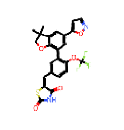 CC1(C)COc2c(-c3cc(/C=C4/SC(=O)NC4=O)ccc3OC(F)(F)F)cc(-c3ccno3)cc21